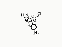 CN(C)c1ccc(C(OCCCl)([PH2]=O)C(=O)NN)cc1